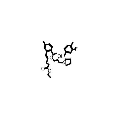 CCOC(=O)CC/C=C/c1cc(C)ccc1C(C)OC[C@H](O)CN1CCC[C@H]1Cc1ccc(C)c(F)c1